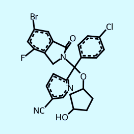 N#Cc1ccc(C(OC2CCC(O)C2)(c2ccc(Cl)cc2)N2Cc3c(F)cc(Br)cc3C2=O)nc1